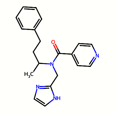 CC(CCc1ccccc1)N(Cc1ncc[nH]1)C(=O)c1ccncc1